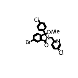 CO[C@]1(c2ccc(Cl)cc2)c2ccc(Br)cc2C(=O)N1Cc1ccc(Cl)cn1